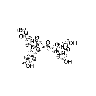 CC(C)(O)Cn1c(=O)n(CCO)c(=O)n(CCOC(=O)CCn2c(=O)n(CCC(=O)OC(C)(C)C)c(=O)n(CCC(=O)OC(C)(C)CO)c2=O)c1=O